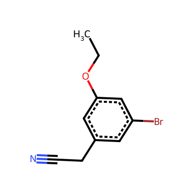 CCOc1cc(Br)cc(CC#N)c1